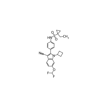 CCC1(S(=O)(=O)Nc2ccc(-c3c(C#N)c4ccc(OC(F)F)cc4n3C3CCC3)cc2)CC1